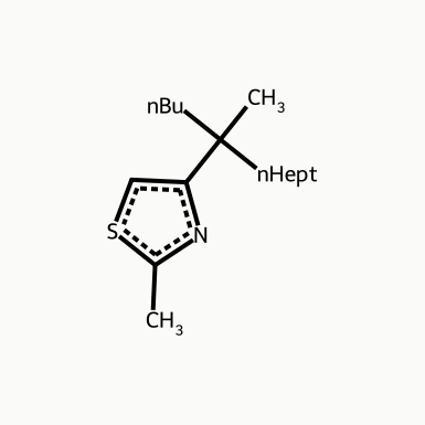 CCCCCCCC(C)(CCCC)c1csc(C)n1